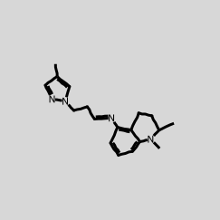 Cc1cnn(CC/C=N/c2cccc3c2CCC(C)N3C)c1